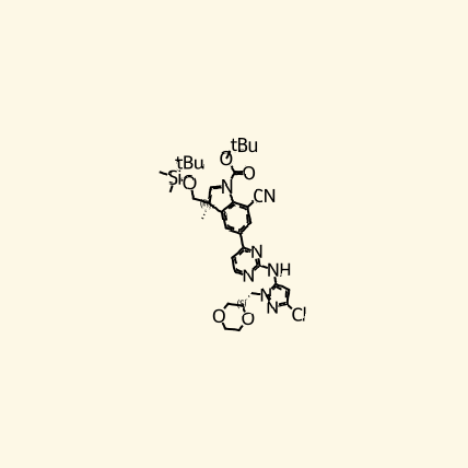 CC(C)(C)OC(=O)N1C[C@](C)(CO[Si](C)(C)C(C)(C)C)c2cc(-c3ccnc(Nc4cc(Cl)nn4C[C@H]4COCCO4)n3)cc(C#N)c21